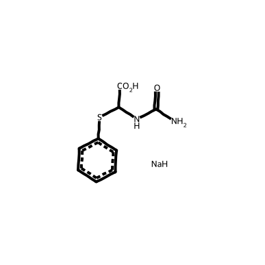 NC(=O)NC(Sc1ccccc1)C(=O)O.[NaH]